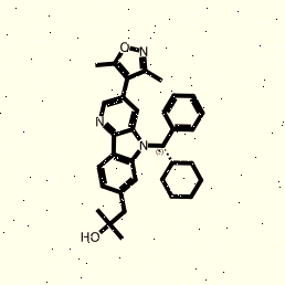 Cc1noc(C)c1-c1cnc2c3ccc(CC(C)(C)O)cc3n([C@H](c3ccccc3)C3CCCCC3)c2c1